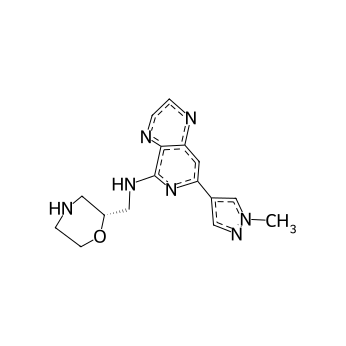 Cn1cc(-c2cc3nccnc3c(NC[C@H]3CNCCO3)n2)cn1